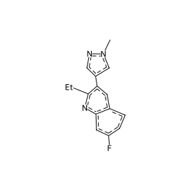 CCc1nc2cc(F)ccc2cc1-c1cnn(C)c1